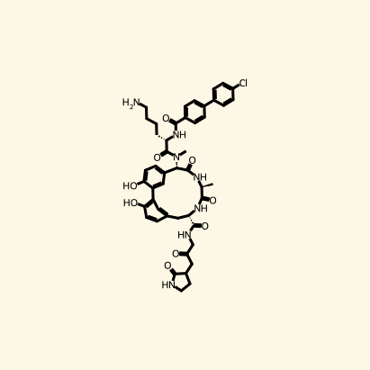 C[C@@H]1NC(=O)[C@@H](N(C)C(=O)[C@H](CCCCN)NC(=O)c2ccc(-c3ccc(Cl)cc3)cc2)c2ccc(O)c(c2)-c2cc(ccc2O)C[C@@H](C(=O)NCC(=O)CC2CCNC2=O)NC1=O